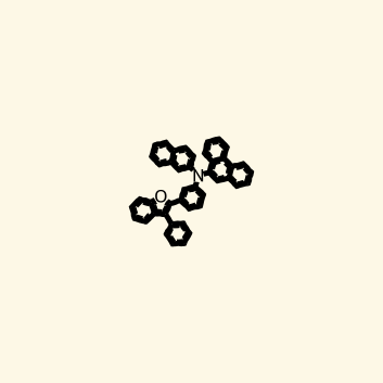 c1ccc(-c2c(-c3cccc(N(c4ccc5ccccc5c4)c4cc5ccccc5c5ccccc45)c3)oc3ccccc23)cc1